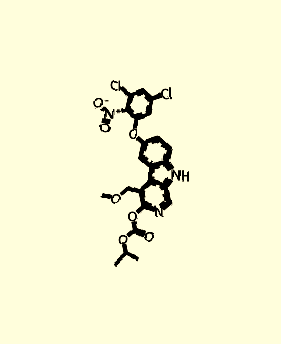 COCc1c(OC(=O)OC(C)C)ncc2[nH]c3ccc(Oc4cc(Cl)cc(Cl)c4[N+](=O)[O-])cc3c12